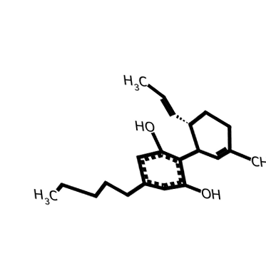 CC=C[C@@H]1CCC(C)=CC1c1c(O)cc(CCCCC)cc1O